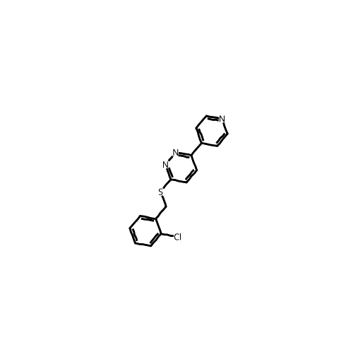 Clc1ccccc1CSc1ccc(-c2ccncc2)nn1